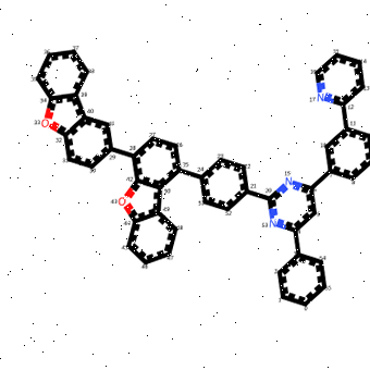 c1ccc(-c2cc(-c3cccc(-c4ccccn4)c3)nc(-c3ccc(-c4ccc(-c5ccc6oc7ccccc7c6c5)c5oc6ccccc6c45)cc3)n2)cc1